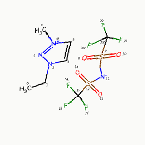 CCn1cc[n+](C)n1.O=S(=O)([N-]S(=O)(=O)C(F)(F)F)C(F)(F)F